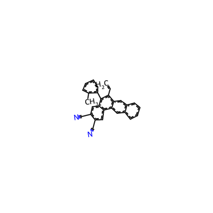 C=Cc1c(-c2ccccc2C)c2cc(C#N)c(C#N)cc2c2cc3ccccc3cc12